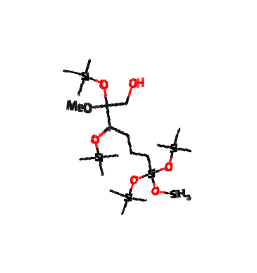 COC(CO)(O[Si](C)(C)C)[C](CCC[Si](O[SiH3])(O[Si](C)(C)C)O[Si](C)(C)C)O[Si](C)(C)C